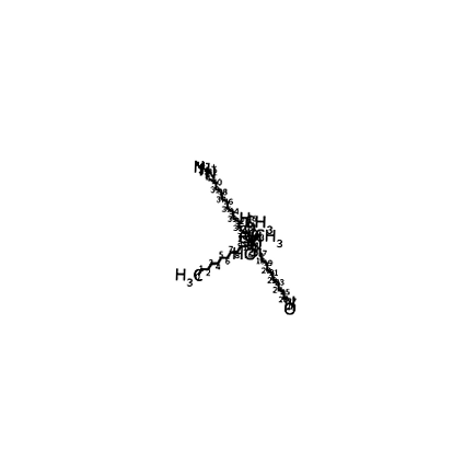 CCCCCCCCCCC[Si](OC)(O[SiH](O)CCCCCCCCCCN=O)O[SiH](CCCCCCCCCCCN=[N+]=[N-])OC